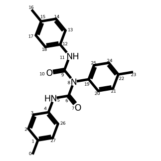 Cc1ccc(NC(=O)N(C(=O)Nc2ccc(C)cc2)c2ccc(C)cc2)cc1